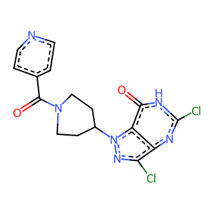 O=C(c1ccncc1)N1CCC(n2nc(Cl)c3nc(Cl)[nH]c(=O)c32)CC1